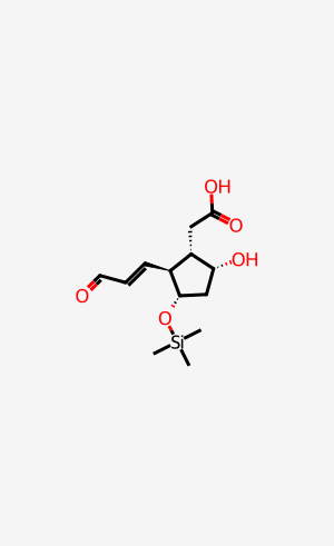 C[Si](C)(C)O[C@H]1C[C@@H](O)[C@@H](CC(=O)O)[C@@H]1C=CC=O